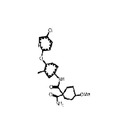 COC1CCC(C(N)=O)(C(=O)Nc2ccc(Oc3ccc(Cl)cn3)c(C)c2)CC1